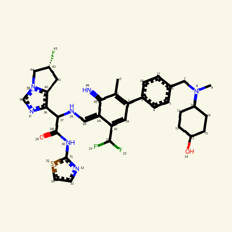 CC1=C(c2ccc(CN(C)C3CCC(O)CC3)cc2)C=C(C(F)F)/C(=C/NC(C(=O)Nc2nccs2)c2ncn3c2C[C@@H](F)C3)C1=N